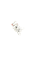 CC1(C)c2ccccc2-c2cc3c4c(c21)-n1c2cc5ccccc5cc2c2cccc(c21)B4N1c2ccccc2C2(c4ccccc4-c4ccccc42)c2cccc-3c21